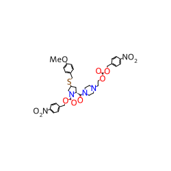 COc1ccc(CS[C@H]2C[C@@H](C(=O)N3CCN(CCOC(=O)OCc4ccc([N+](=O)[O-])cc4)CC3)N(C(=O)OCc3ccc([N+](=O)[O-])cc3)C2)cc1